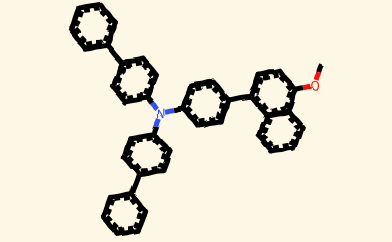 COc1ccc(-c2ccc(N(c3ccc(-c4ccccc4)cc3)c3ccc(-c4ccccc4)cc3)cc2)c2ccccc12